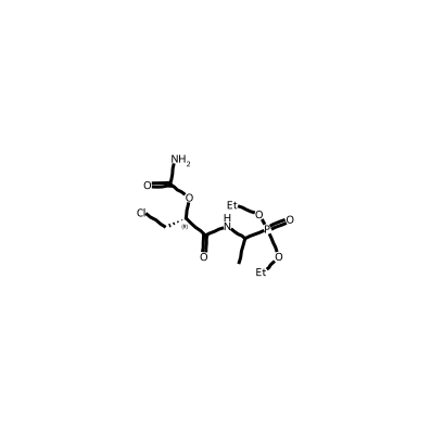 CCOP(=O)(OCC)C(C)NC(=O)[C@H](CCl)OC(N)=O